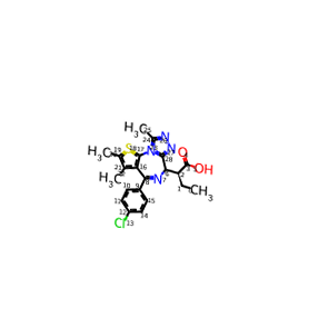 CC[C@H](C(=O)O)C1N=C(c2ccc(Cl)cc2)c2c(sc(C)c2C)-n2c(C)nnc21